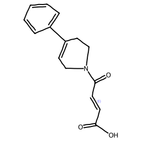 O=C(O)/C=C/C(=O)N1CC=C(c2ccccc2)CC1